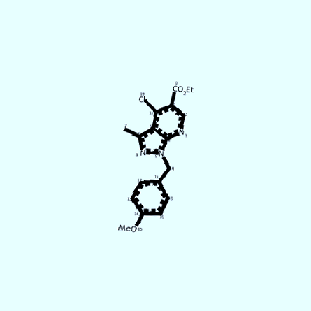 CCOC(=O)c1cnc2c(c(C)nn2Cc2ccc(OC)cc2)c1Cl